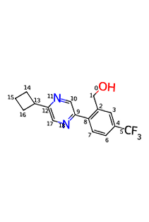 OCc1cc(C(F)(F)F)ccc1-c1cnc(C2CCC2)cn1